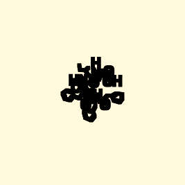 CCC(C)C(NC(=O)C(=O)C(Cc1ccccc1)NC(=O)C(Cc1ccccc1)NC(=O)Cc1ccccc1)C(=O)NC(C)(C)C(=O)O